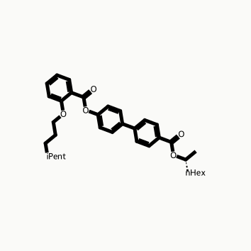 CCCCCC[C@@H](C)OC(=O)c1ccc(-c2ccc(OC(=O)c3ccccc3OCCCC(C)CCC)cc2)cc1